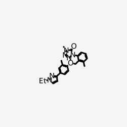 CCn1ccc(-c2ccc(OCc3c(C)cccc3-n3nnn(C)c3=O)c(C)c2)n1